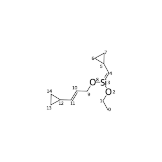 CCO[Si](=CC1CC1)OCC=CC1CC1